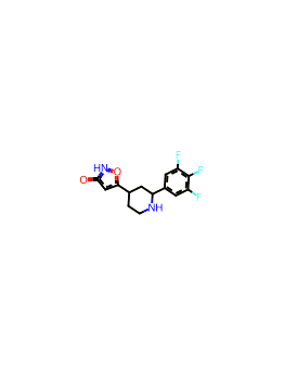 O=c1cc(C2CCNC(c3cc(F)c(F)c(F)c3)C2)o[nH]1